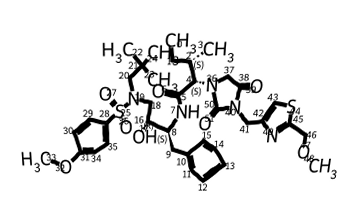 CC[C@H](C)[C@@H](C(=O)N[C@@H](Cc1ccccc1)[C@H](O)CN(CC(C)(C)C)S(=O)(=O)c1ccc(OC)cc1)N1CC(=O)N(Cc2csc(COC)n2)C1=O